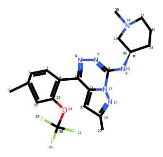 Cc1ccc(-c2nnc(N[C@@H]3CCCN(C)C3)n3nc(C)cc23)c(OC(F)(F)F)c1